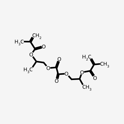 C=C(C)C(=O)OC(C)COC(=O)C(=O)OCC(C)OC(=O)C(=C)C